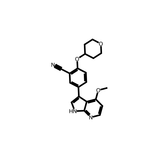 COc1ccnc2[nH]cc(-c3ccc(OC4CCOCC4)c(C#N)c3)c12